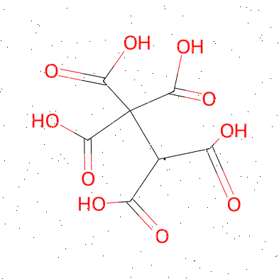 O=C(O)[C](C(=O)O)C(C(=O)O)(C(=O)O)C(=O)O